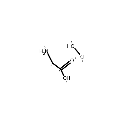 NCC(=O)O.OCl